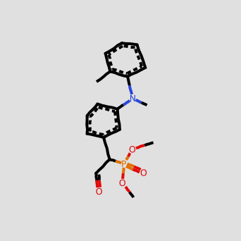 COP(=O)(OC)C(C=O)c1cccc(N(C)c2ccccc2C)c1